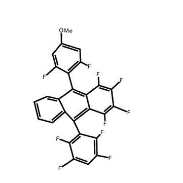 COc1cc(F)c(-c2c3ccccc3c(-c3c(F)c(F)cc(F)c3F)c3c(F)c(F)c(F)c(F)c23)c(F)c1